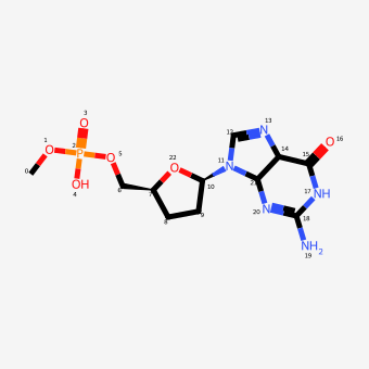 COP(=O)(O)OC[C@@H]1CC[C@H](N2C=NC3C(=O)NC(N)=NC32)O1